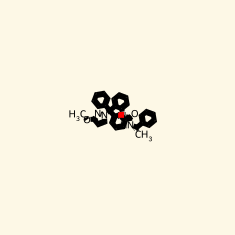 COc1ccn(C(c2ccccc2)(c2ccccc2)c2ccccc2NC(=O)N[C@H](C)c2ccccc2)n1